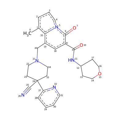 Cc1cccn2c(=O)c(C(=O)NC3CCOCC3)cc(CN3CCC(C#N)(c4ccccn4)CC3)c12